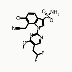 COc1nc(-n2cc(S(N)(=O)=O)c3ccc(Cl)c(CC#N)c32)ncc1CC(F)F